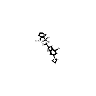 COc1cccnc1S(=O)(=O)NC(=O)c1cc2c(F)cc(N3CCC3)cc2o1